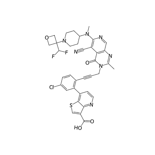 Cc1nc2cnc(N(C)C3CCN(C4(C(F)F)COC4)CC3)c(C#N)c2c(=O)n1CC#Cc1ccc(Cl)cc1-c1ccnc2c(C(=O)O)csc12